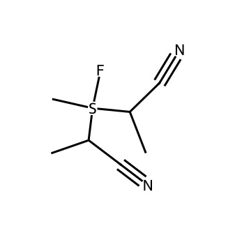 CC(C#N)S(C)(F)C(C)C#N